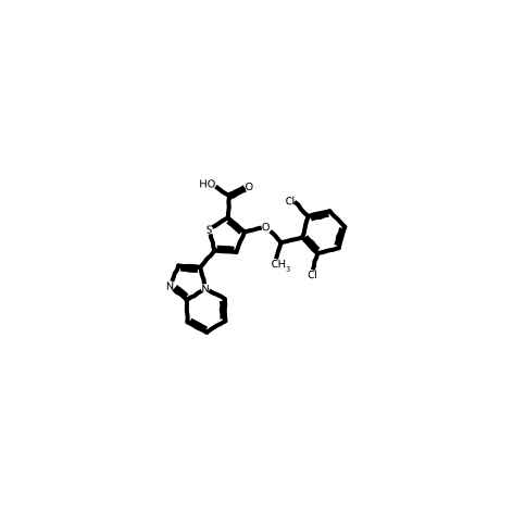 CC(Oc1cc(-c2cnc3ccccn23)sc1C(=O)O)c1c(Cl)cccc1Cl